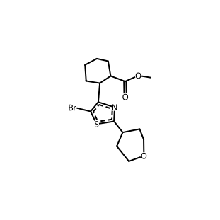 COC(=O)C1CCCCC1c1nc(C2CCOCC2)sc1Br